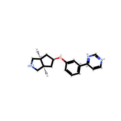 c1cc(O[C@H]2C[C@H]3CNC[C@H]3C2)cc(-c2ccncn2)c1